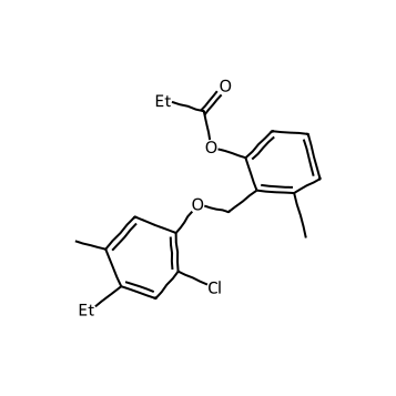 CCC(=O)Oc1cccc(C)c1COc1cc(C)c(CC)cc1Cl